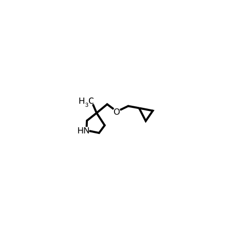 CC1(COCC2CC2)CCNC1